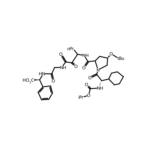 CCCC(NC(=O)C1C[C@@H](OC(C)(C)C)CN1C(=O)[C@@H](NC(=O)OC(C)C)C1CCCCC1)C(=O)C(=O)NCC(=O)N[C@H](C(=O)O)c1ccccc1